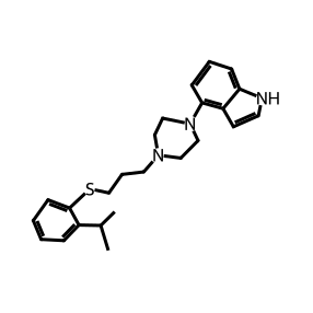 CC(C)c1ccccc1SCCCN1CCN(c2cccc3[nH]ccc23)CC1